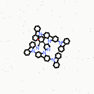 N#Cc1ccccc1-c1cc(-n2c3cc(-n4c5ccccc5c5ccccc54)ccc3c3ccc(-n4c5ccccc5c5ccccc54)cc32)ncc1-n1c2cc(-n3c4ccccc4c4ccccc43)ccc2c2ccc(-n3c4ccccc4c4ccccc43)cc21